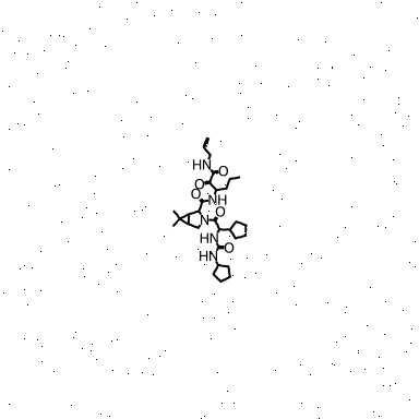 C=CCNC(=O)C(=O)C(CCC)NC(=O)C1C2C(CN1C(=O)C(NC(=O)NC1CCCC1)C1CCCC1)C2(C)C